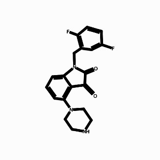 O=C1C(=O)N(Cc2cc(F)ccc2F)c2cccc(N3CCNCC3)c21